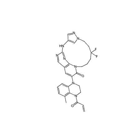 C=CC(=O)N1CCN(c2cc3cnc4nc3n(c2=O)CCCC(F)(F)CCn2cc(cn2)N4)c2cccc(C)c21